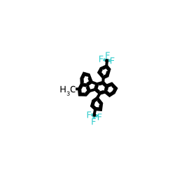 Cc1ccc2c3c(cccc13)-c1c-2c(-c2ccc(C(F)(F)F)cc2)c2ccccc2c1-c1ccc(C(F)(F)F)cc1